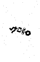 CCCC(C)(CCC)N1CCN(S(=O)(=O)c2ccccc2)CC1